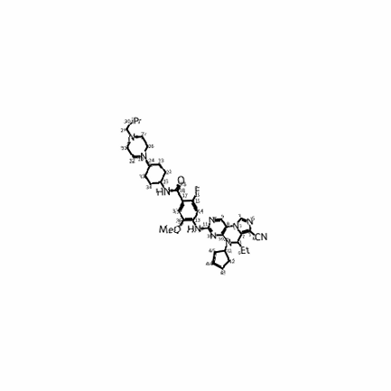 CCC1c2c(C#N)ncn2-c2cnc(Nc3cc(F)c(C(=O)NC4CCC(N5CCN(CC(C)C)CC5)CC4)cc3OC)nc2N1C1CCCC1